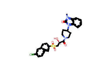 Cn1c(=O)n(C2CCN(C(=O)[C@H](O)CS(=O)(=O)c3ccc4cc(Cl)ccc4c3)CC2)c2ccccc21